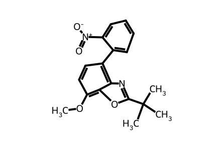 COc1ccc(-c2ccccc2[N+](=O)[O-])c2nc(C(C)(C)C)oc12